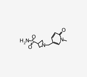 Cn1cc(CN2CC(S(N)(=O)=O)C2)ccc1=O